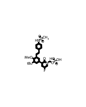 COc1c(/C=C/c2ccc(NS(C)(=O)=O)cc2)cc(-c2cc(F)cn(COP(=O)(O)O)c2=O)cc1C(C)(C)C